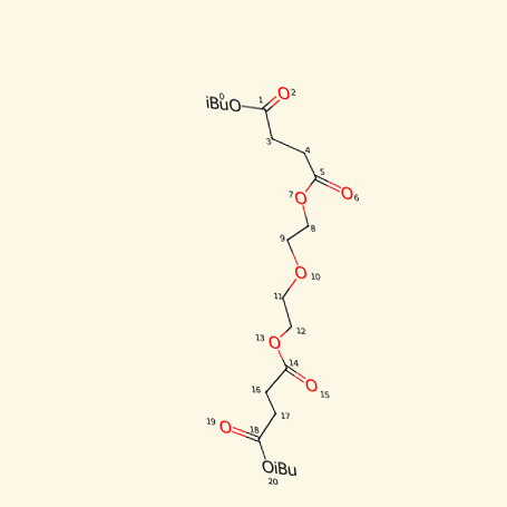 CC(C)COC(=O)CCC(=O)OCCOCCOC(=O)CCC(=O)OCC(C)C